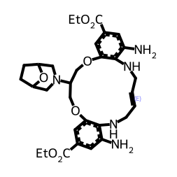 CCOC(=O)c1cc(N)c2c(c1)OCC(N1CC3CCC(C1)O3)COc1cc(C(=O)OCC)cc(N)c1NC/C=C/CN2